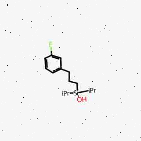 CC(C)[Si](O)(CCCc1cccc(F)c1)C(C)C